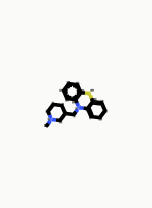 CN1CCCC(CN2C3=CCCC=C3Sc3ccccc32)C1